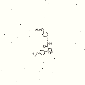 COc1ccc(CCNC(=O)c2cnoc2-c2ccc(C)cc2)cc1